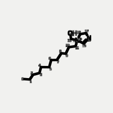 CCCCCCCCCCCC[N+]1(CO)C=NCC1